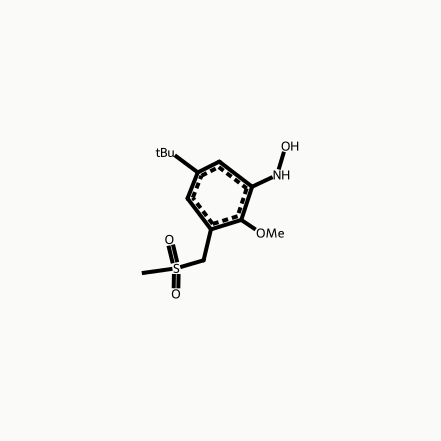 COc1c(CS(C)(=O)=O)cc(C(C)(C)C)cc1NO